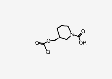 O=C(Cl)OC[C@H]1CCCN(C(=O)O)C1